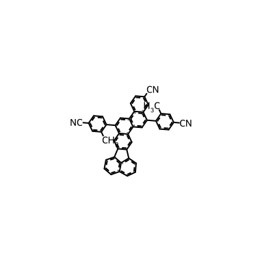 Cc1cc(C#N)ccc1-c1cc2c3cc4c(cc3c(-c3ccc(C#N)cc3C)cc2c2ccc(C#N)cc12)-c1cccc2cccc-4c12